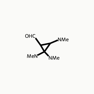 CNC1C(C=O)C1(NC)NC